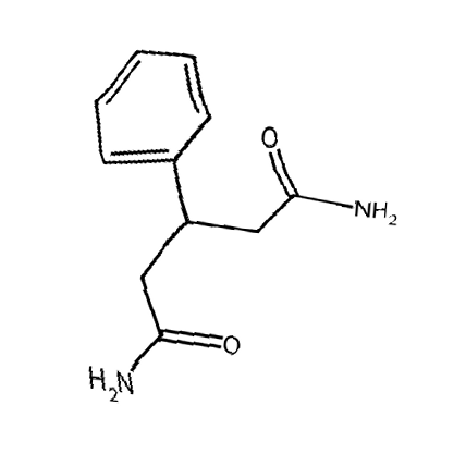 NC(=O)CC(CC(N)=O)c1ccccc1